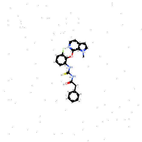 Cn1ccc2ccnc(Oc3c(F)cccc3NC(=S)NC(=O)Cc3ccccc3)c21